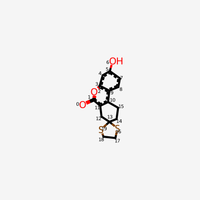 O=c1oc2cc(O)ccc2c2c1CC1(CC2)SCCS1